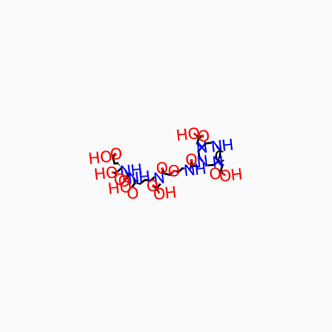 O=C(O)CC[C@H](NC(=O)N[C@@H](CCCCN(CC(=O)O)C(=O)COCCNC(=O)CN1CCN(CC(=O)O)CCNCCN(CC(=O)O)CC1)C(=O)O)C(=O)O